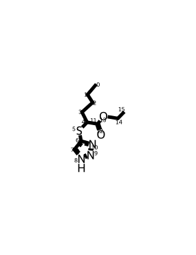 CCCCC(Sc1c[nH]nn1)C(=O)OCC